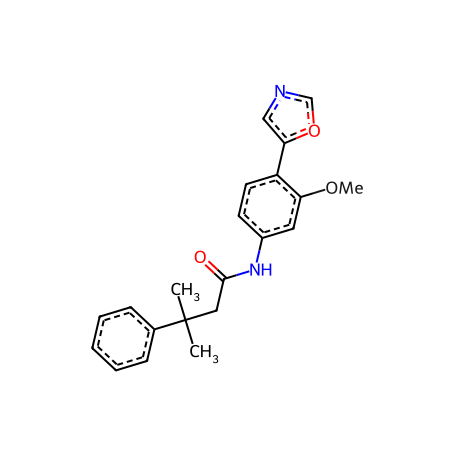 COc1cc(NC(=O)CC(C)(C)c2ccccc2)ccc1-c1cnco1